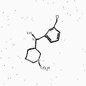 O=C(O)N1CCCC([C@@H](O)c2cccc(Cl)c2)C1